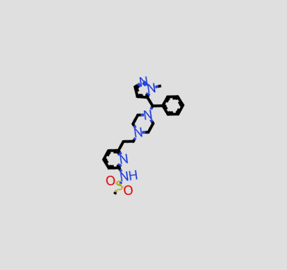 Cn1nccc1C(c1ccccc1)N1CCN(CCc2cccc(NS(C)(=O)=O)n2)CC1